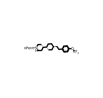 CCCCC[Si@H]1CC[C@H]([C@H]2CC[C@H](CCc3ccc(OC(F)(F)F)cc3)CC2)CC1